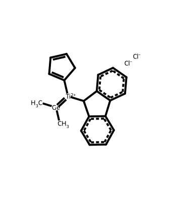 [CH3][Ge]([CH3])=[Ti+2]([C]1=CC=CC1)[CH]1c2ccccc2-c2ccccc21.[Cl-].[Cl-]